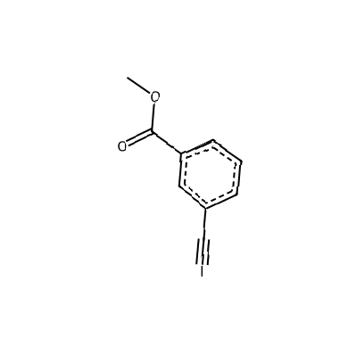 COC(=O)c1cccc(C#I)c1